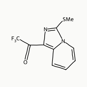 CSc1nc(C(=O)C(F)(F)F)c2ccccn12